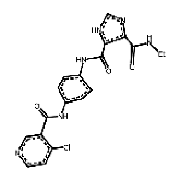 CCNC(=O)c1nc[nH]c1C(=O)Nc1ccc(NC(=O)c2cnccc2Cl)cc1